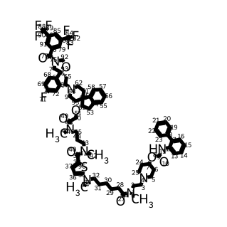 CN(CCN1CCC(OC(=O)Nc2ccccc2-c2ccccc2)CC1)C(=O)CCCCCN(C)c1ccc(C(=O)N(C)CCCN(C)C(=O)CO[C@H]2Cc3ccccc3C23CCN(CC[C@]2(c4ccc(F)cc4)CN(C(=O)c4cc(C(F)(F)F)cc(C(F)(F)F)c4)CO2)CC3)s1